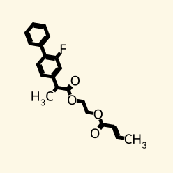 CC=CC(=O)OCCOC(=O)C(C)c1ccc(-c2ccccc2)c(F)c1